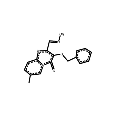 Cc1ccc2nc(/C=N/O)c(OCc3ccccc3)c(=O)n2c1